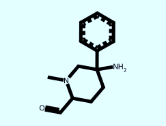 CN1CC(N)(c2ccccc2)CCC1C=O